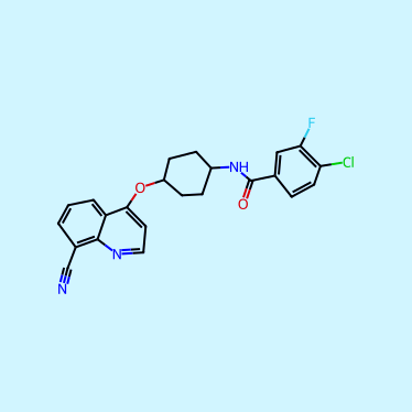 N#Cc1cccc2c(OC3CCC(NC(=O)c4ccc(Cl)c(F)c4)CC3)ccnc12